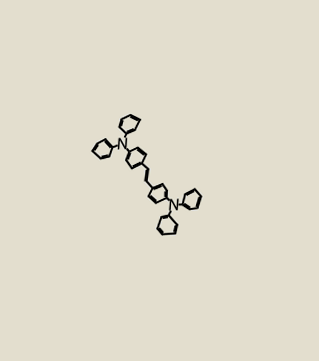 C(=Cc1ccc(N(c2ccccc2)c2ccccc2)cc1)c1ccc(N(c2ccccc2)c2ccccc2)cc1